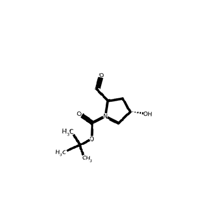 CC(C)(C)OC(=O)N1C[C@@H](O)CC1C=O